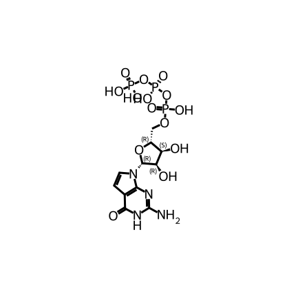 Nc1nc2c(ccn2[C@@H]2O[C@H](COP(=O)(O)OP(=O)(O)OP(=O)(O)O)[C@@H](O)[C@H]2O)c(=O)[nH]1